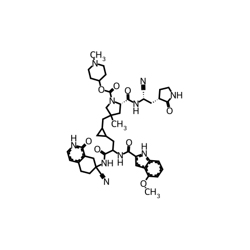 COc1cccc2[nH]c(C(=O)NC(CC3CC3CC3(C)C[C@@H](C(=O)N[C@H](C#N)C[C@@H]4CCNC4=O)N(C(=O)OC4CCN(C)CC4)C3)C(=O)NC3(C#N)CCc4cc[nH]c(=O)c4C3)cc12